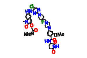 CNC(=O)COc1cc2cc(Nc3nc(N4CCC(F)(CN5CCN(c6ccc(C(=O)NC7CCC(=O)NC7=O)c(OC)c6)CC5)CC4)ncc3Cl)ccc2n(C)c1=O